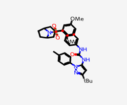 COc1ccc(OC)c(S(=O)(=O)N2C3CCC2CC(Cc2ccc(NC(=O)Nc4cc(C(C)(C)C)nn4-c4ccc(C)cc4)cc2)C3)c1